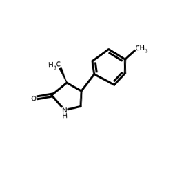 Cc1ccc(C2CNC(=O)[C@H]2C)cc1